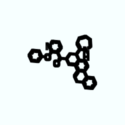 O=C(c1cccnc1Oc1ccccc1)C1C=c2c(ccc3c2=CCc2ccccc2-3)C(C2=CC=CC=CN2)C1